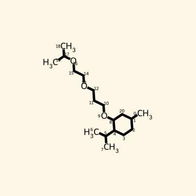 CC1CCC(C(C)C)C(OCCCOCCOC(C)C)C1